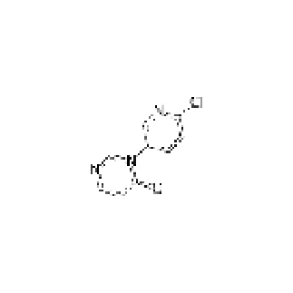 O=c1ccncn1-c1ccc(Cl)nc1